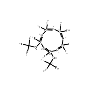 FC(F)(F)OP1(F)=NP(F)(F)=NP(F)(F)=NP(F)(F)=NP(F)(OC(F)(F)F)=N1